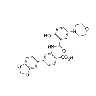 O=C(Nc1cc(-c2ccc3c(c2)OCO3)ccc1C(=O)O)c1cc(N2CCOCC2)ccc1O